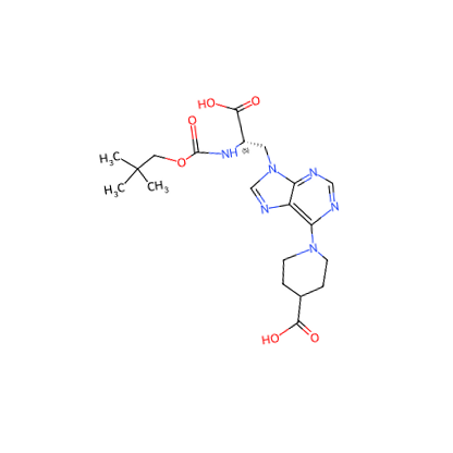 CC(C)(C)COC(=O)N[C@@H](Cn1cnc2c(N3CCC(C(=O)O)CC3)ncnc21)C(=O)O